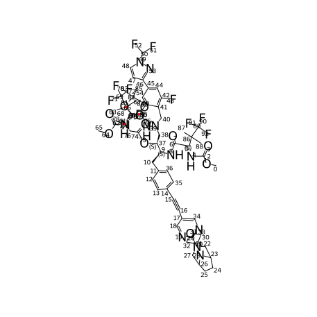 COC(=O)N[C@H](C(=O)N[C@@H](Cc1ccc(C#Cc2cnc(N3CC4CCC(C3)N4C3COC3)nc2)cc1)[C@H](CN(Cc1c(F)cc(-c2ccn(C(F)F)n2)cc1F)NC(=O)[C@@H](NC(=O)OC)C(C)(C)C(F)(F)F)OC(=O)CN(C)C(=O)OC(C)(C)C)C(C)(C)C(F)(F)F